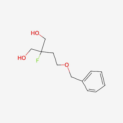 OCC(F)(CO)CCOCc1ccccc1